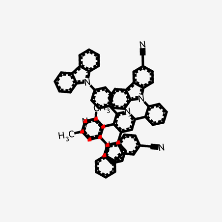 Cc1cc(-c2ccccc2-c2cc(-c3ccccc3-n3c4ccccc4c4cc(C#N)ccc43)nc(-c3ccc(-n4c5ccccc5c5ccccc54)cc3)c2-c2ccccc2-n2c3ccccc3c3cc(C#N)ccc32)cc(C)n1